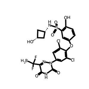 BC(F)(F)c1nn(-c2cc(Cl)c(Oc3ccc(O)c(S(=O)(=O)N[C@H]4C[C@@H](O)C4)c3)c(Cl)c2)c(=O)[nH]c1=O